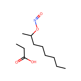 CCC(=O)O.CCCCCCC(C)ON=O